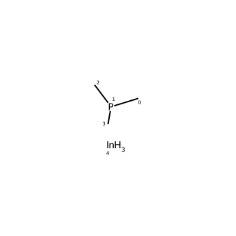 CP(C)C.[InH3]